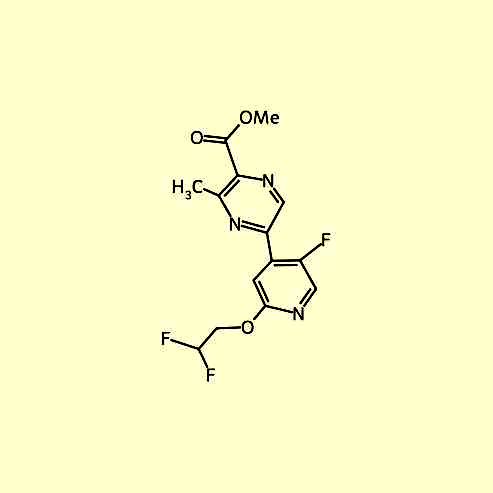 COC(=O)c1ncc(-c2cc(OCC(F)F)ncc2F)nc1C